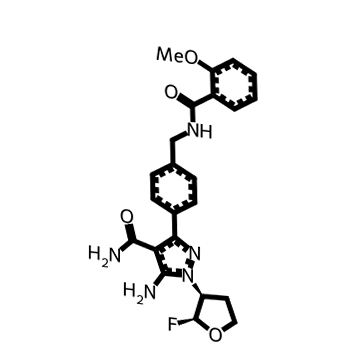 COc1ccccc1C(=O)NCc1ccc(-c2nn([C@H]3CCO[C@H]3F)c(N)c2C(N)=O)cc1